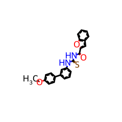 COc1ccc(-c2cccc(NC(=S)NC(=O)c3cc4ccccc4o3)c2)cc1